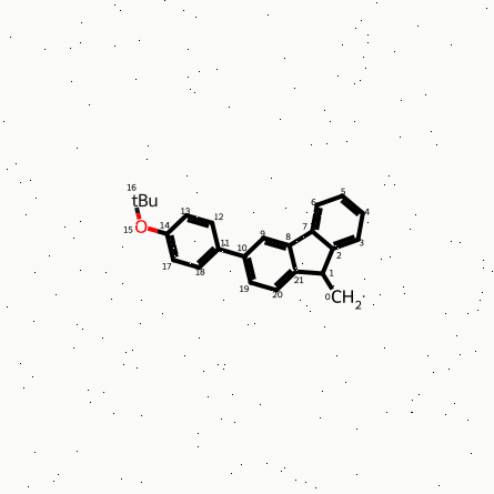 [CH2]C1c2ccccc2-c2cc(-c3ccc(OC(C)(C)C)cc3)ccc21